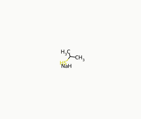 CC(C)S.[NaH]